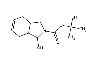 CC(C)(C)OC(=O)N1CC2CC=CCC2C1O